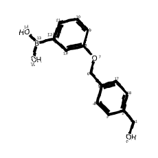 OCc1ccc(COc2cccc(B(O)O)c2)cc1